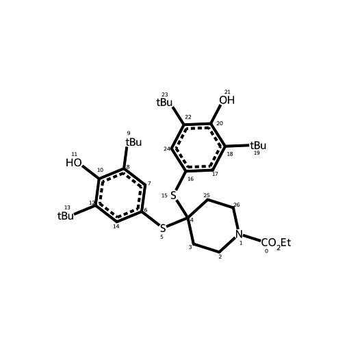 CCOC(=O)N1CCC(Sc2cc(C(C)(C)C)c(O)c(C(C)(C)C)c2)(Sc2cc(C(C)(C)C)c(O)c(C(C)(C)C)c2)CC1